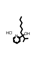 CCCCCCC(O)(c1ccccn1)C(C)C.Cl